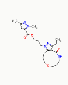 CCc1nn(CCCOC(=O)c2cc(C)nn2C)c2c1C(=O)NCCCOCCC2